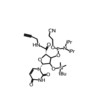 C#CCNC(=O)[C@H]1O[C@@H](n2ccc(=O)[nH]c2=O)C(O[Si](C)(C)C(C)(C)C)C1OP(OCCC#N)N(C(C)C)C(C)C